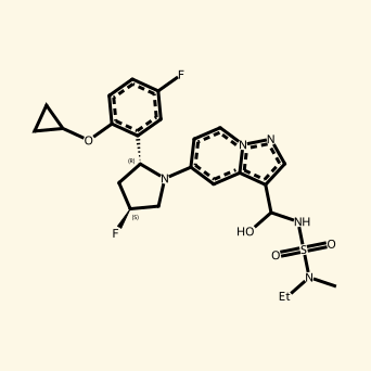 CCN(C)S(=O)(=O)NC(O)c1cnn2ccc(N3C[C@@H](F)C[C@@H]3c3cc(F)ccc3OC3CC3)cc12